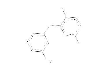 COc1cccc(Nc2nc(Cl)ncc2C)c1